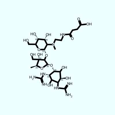 C[C@@H]1O[C@@H](O[C@@H]2C(O)[C@@H](O)C(NC(=N)N)C(O)[C@@H]2NC(=N)N)C(O[C@@H]2OC(CO)[C@H](O)[C@H](O)C2N(C)CCNC(=O)CCC(=O)O)[C@]1(O)CO